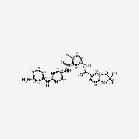 Cc1ccc(NC(=O)c2ccc3c(c2)OC(F)(F)O3)cc1C(=O)Nc1cnc(Nc2cccc(N)c2)nc1